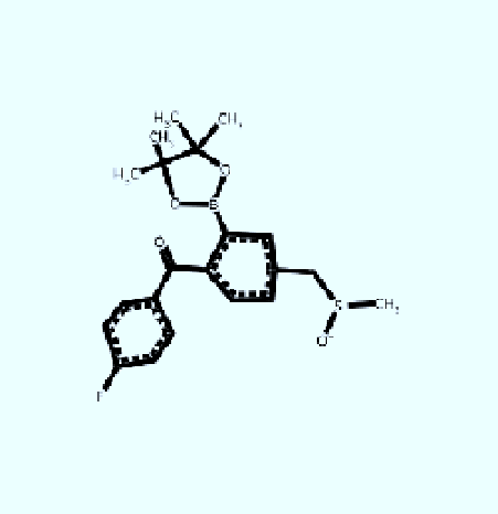 C[S+]([O-])Cc1ccc(C(=O)c2ccc(F)cc2)c(B2OC(C)(C)C(C)(C)O2)c1